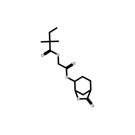 CCC(C)(C)C(=O)OCC(=O)OC1CCC2CC1OC2=O